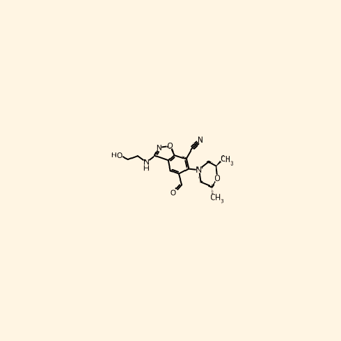 C[C@@H]1CN(c2c(C=O)cc3c(NCCO)noc3c2C#N)C[C@@H](C)O1